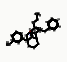 CCOC(=O)/C=C1\C2CCCC1(c1cccc(O)c1)CCN2CCc1ccccc1